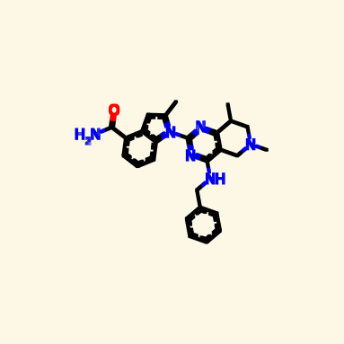 Cc1cc2c(C(N)=O)cccc2n1-c1nc(NCc2ccccc2)c2c(n1)C(C)CN(C)C2